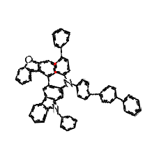 c1ccc(-c2ccc(-c3ccc(N(c4ccc(-c5ccccc5)cc4)c4cc5c(cc4-c4cccc6oc7ccccc7c46)c4ccccc4n5-c4ccccc4)cc3)cc2)cc1